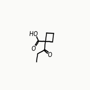 CCC(=O)C1(C(=O)O)CCC1